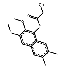 COc1cc2cc(C)c(C)cc2c(OC(=O)CO)c1OC